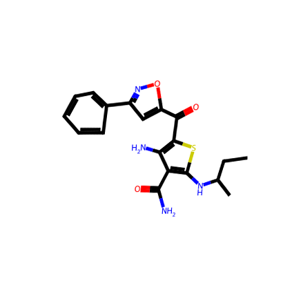 CCC(C)Nc1sc(C(=O)c2cc(-c3ccccc3)no2)c(N)c1C(N)=O